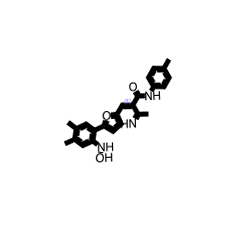 CC(=N)/C(=C\c1ccc(-c2cc(C)c(C)cc2NO)o1)C(=O)Nc1ccc(C)cc1